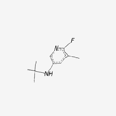 Cc1cc(NC(C)(C)C)cnc1F